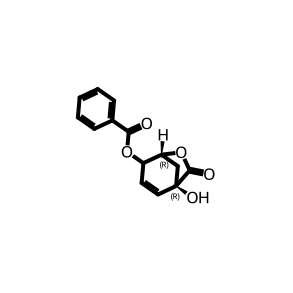 O=C(OC1C=C[C@]2(O)C[C@H]1OC2=O)c1ccccc1